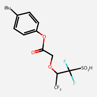 CCC(C)c1ccc(OC(=O)COC(C(F)(F)F)C(F)(F)S(=O)(=O)O)cc1